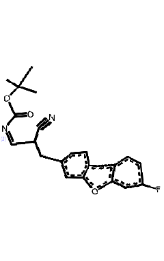 CC(C)(C)OC(=O)/N=C\C(C#N)Cc1ccc2c(c1)oc1cc(F)ccc12